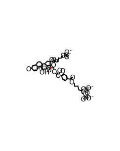 COc1cc(C(=O)OCCCCC(CO[N+](=O)[O-])O[N+](=O)[O-])ccc1OC(=O)OCC(=O)[C@@]1(OC(=O)CCCO[N+](=O)[O-])[C@H](O)CC2C3CCC4=CC(=O)C=C[C@]4(C)[C@@]3(F)[C@@H](O)C[C@@]21C